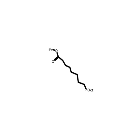 [CH2]C([CH2])OC(=O)CCCCCCCCCCCCCCC